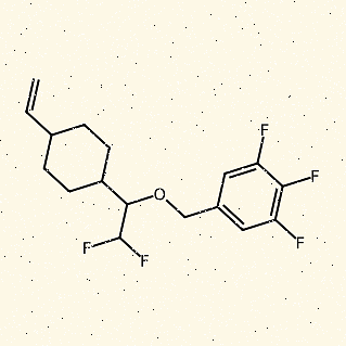 C=CC1CCC(C(OCc2cc(F)c(F)c(F)c2)C(F)F)CC1